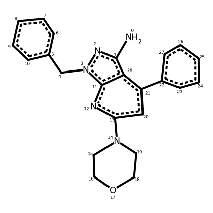 Nc1nn(Cc2ccccc2)c2nc(N3CCOCC3)cc(-c3ccccc3)c12